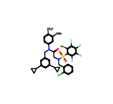 COc1cc(N(Cc2cc(C3CC3)cc(C3CC3)c2)C(=O)CN(Cc2ccccc2Cl)S(=O)(=O)c2c(F)c(F)c(F)c(F)c2Br)ccc1C(=O)O